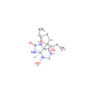 CCCN1C(=O)NC2(F)N(O)CN=CC12C1([C@@H](O)CC)CCCO1